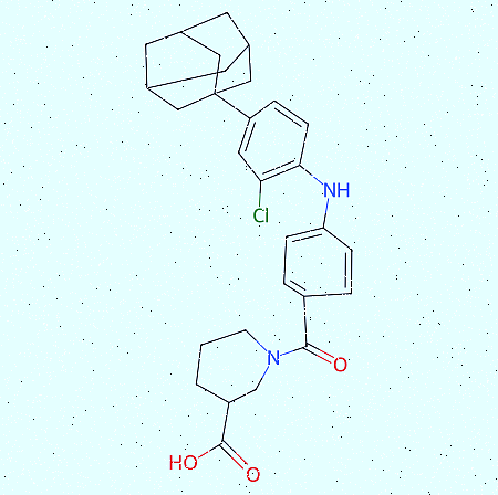 O=C(O)C1CCCN(C(=O)c2ccc(Nc3ccc(C45CC6CC(CC(C6)C4)C5)cc3Cl)cc2)C1